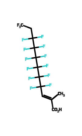 CC(=CC(F)(F)C(F)(F)C(F)(F)C(F)(F)C(F)(F)C(F)(F)CC(F)(F)F)C(=O)O